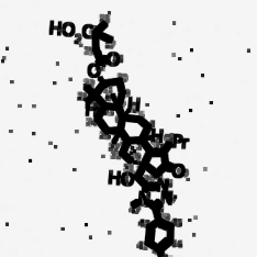 CC(C)C1=C2[C@H]3CC[C@@H]4[C@@]5(C)CC[C@H](OC(=O)CC(C)(C)C(=O)O)C(C)(C)[C@@H]5CC[C@@]4(C)[C@]3(C)CC[C@@]2([C@H](O)c2nnc(-c3ccc(C#N)cc3)n2C)CC1=O